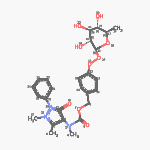 Cc1c(N(C)C(=O)OCc2ccc(OO[C@@H]3O[C@H](C)[C@@H](O)[C@H](O)[C@H]3O)cc2)c(=O)n(-c2ccccc2)n1C